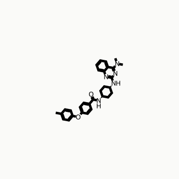 Cc1ccc(Oc2ccc(C(=O)N[C@H]3CC[C@@H](Nc4nc(N(C)C)c5ccccc5n4)CC3)cc2)cc1